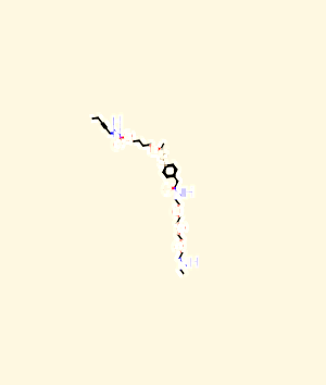 CCC#CCNC(=O)OCCCCOC(C)SSc1ccc(CC(=O)NCCOCCOCCOCCNCC)cc1